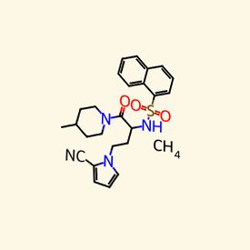 C.CC1CCN(C(=O)C(CCn2cccc2C#N)NS(=O)(=O)c2cccc3ccccc23)CC1